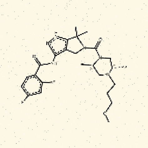 COCCCN1C[C@@H](C)N(C(=O)N2Cc3c(NC(=O)c4ccc(F)cc4F)n[nH]c3C2(C)C)C[C@@H]1C